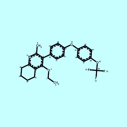 CCOc1c2c(nc(C)c1-c1ccc(Oc3ccc(OC(F)(F)F)cc3)cc1)CCCC2